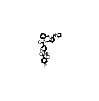 O=C(Nc1ccc(C(=O)N2Cc3ccc(CN4CCCC4)n3Cc3ccccc32)cn1)c1ccc(F)cc1Cl